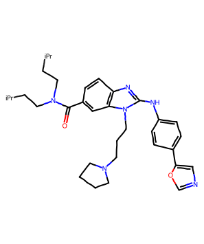 CC(C)CCN(CCC(C)C)C(=O)c1ccc2nc(Nc3ccc(-c4cnco4)cc3)n(CCCN3CCCC3)c2c1